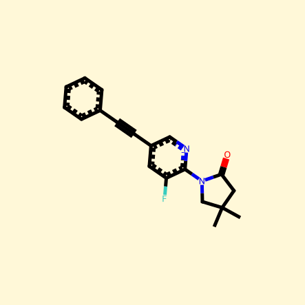 CC1(C)CC(=O)N(c2ncc(C#Cc3ccccc3)cc2F)C1